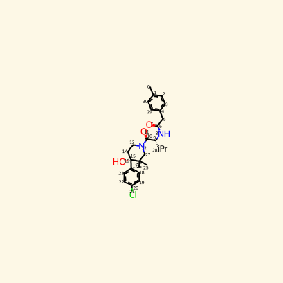 Cc1ccc(CC(=O)N[C@@H](C(=O)N2CC[C@](O)(c3ccc(Cl)cc3)C(C)(C)C2)C(C)C)cc1